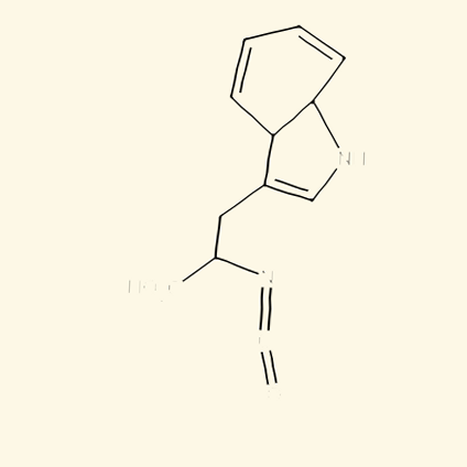 O=C=NC(CC1=CNC2C=CC=CC12)C(=O)O